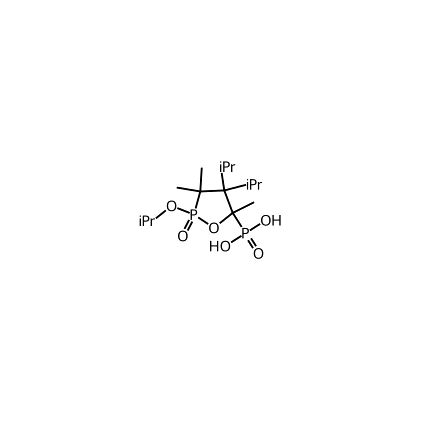 CC(C)OP1(=O)OC(C)(P(=O)(O)O)C(C(C)C)(C(C)C)C1(C)C